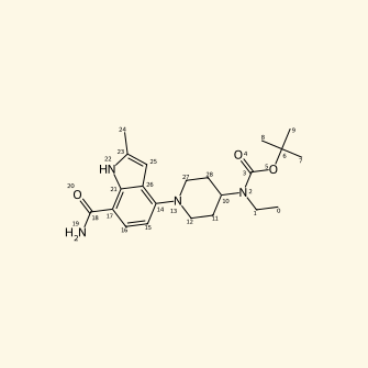 CCN(C(=O)OC(C)(C)C)C1CCN(c2ccc(C(N)=O)c3[nH]c(C)cc23)CC1